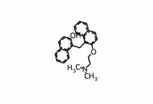 CN(C)CCOc1ccc2ccccc2c1Cc1c(O)ccc2ccccc12